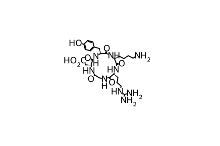 NCCCC[C@@H]1NC(=O)[C@H](Cc2ccc(O)cc2)NC(=O)[C@H](CC(=O)O)NC(=O)CNC(=O)[C@H](CCCNC(N)N)NC1=O